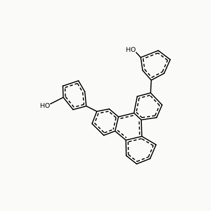 Oc1cccc(-c2ccc3c4ccccc4c4ccc(-c5cccc(O)c5)cc4c3c2)c1